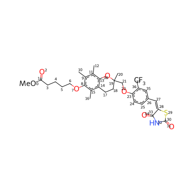 COC(=O)CCCCOc1c(C)c(C)c2c(c1C)CCC(C)(COc1ccc(C=C3SC(=O)NC3=O)cc1C(F)(F)F)O2